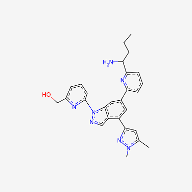 CCCC(N)c1cccc(-c2cc(-c3cc(C)n(C)n3)c3cnn(-c4cccc(CO)n4)c3c2)n1